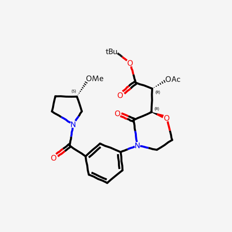 CO[C@H]1CCN(C(=O)c2cccc(N3CCO[C@H]([C@@H](OC(C)=O)C(=O)OC(C)(C)C)C3=O)c2)C1